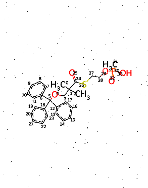 CC(C)(COC(c1ccccc1)(c1ccccc1)c1ccccc1)C(=O)SCCOP(C)(=O)O